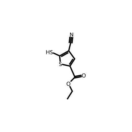 CCOC(=O)c1cc(C#N)c(S)s1